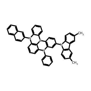 Cc1ccc2c(c1)c1cc(C)ccc1n2-c1ccc2c(c1)N(c1ccccc1)c1cccc3c1B2c1ccccc1N3c1ccc2ccccc2c1